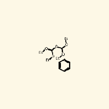 CCOC(OCC)OC(OCC)OCC.c1ccccc1